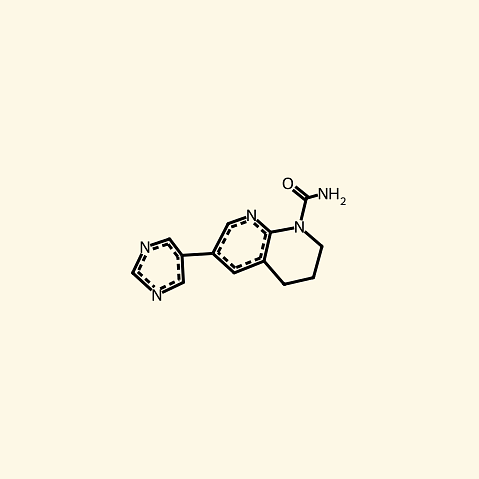 NC(=O)N1CCCc2cc(-c3cncnc3)cnc21